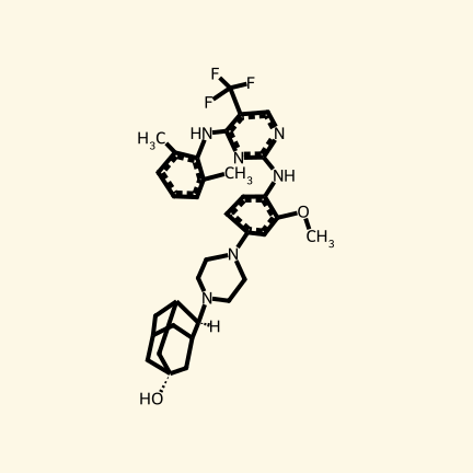 COc1cc(N2CCN([C@H]3C4CC5CC3C[C@](O)(C5)C4)CC2)ccc1Nc1ncc(C(F)(F)F)c(Nc2c(C)cccc2C)n1